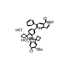 CC(C)(C)c1cc(C2(N(C(=O)O)c3cc(-c4nc5cc[nH]c(=O)c5cc4-c4ccccc4)ccc3C3(N)CCC3)CCC2)ccc1Cl.Cl